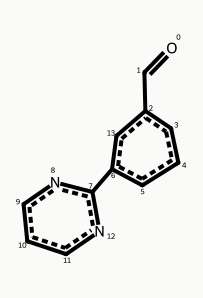 O=Cc1cccc(-c2ncccn2)c1